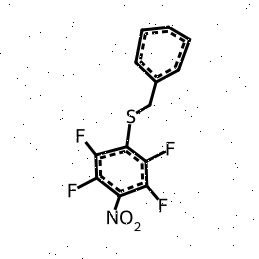 O=[N+]([O-])c1c(F)c(F)c(SCc2ccccc2)c(F)c1F